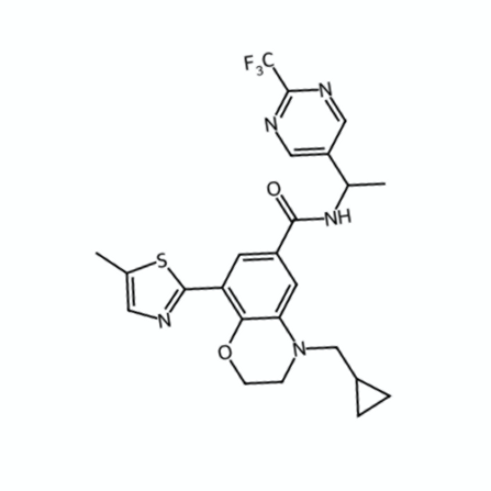 Cc1cnc(-c2cc(C(=O)NC(C)c3cnc(C(F)(F)F)nc3)cc3c2OCCN3CC2CC2)s1